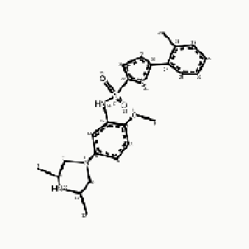 COc1ccc(N2CC(C)NC(C)C2)cc1NS(=O)(=O)c1ccc(-c2ccccc2C)s1